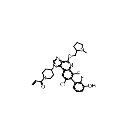 C=CC(=O)N1CCC(n2cnc3c(OCC4CCCN4C)nc4c(F)c(-c5cccc(O)c5F)c(Cl)cc4c32)CC1